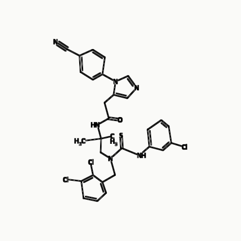 CC(C)(CN(Cc1cccc(Cl)c1Cl)C(=S)Nc1cccc(Cl)c1)NC(=O)Cc1cncn1-c1ccc(C#N)cc1